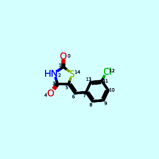 O=C1NC(=O)C(=Cc2cc[c]c(Cl)c2)S1